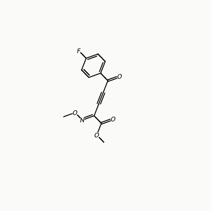 CON=C(C#CC(=O)c1ccc(F)cc1)C(=O)OC